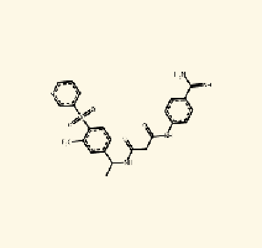 CC(NC(=O)CC(=O)Nc1ccc(C(=N)N)cc1)c1ccc(S(=O)(=O)c2cccnc2)c(C(F)(F)F)c1